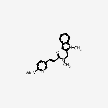 CNc1ccc(/C=C/C(=O)N(C)Cc2cc3ccccc3n2C)cn1